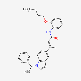 CCCCC(c1ccccc1)n1ccc2cc(C(C)=CC(=O)Nc3ccccc3OCCCC(=O)O)ccc21